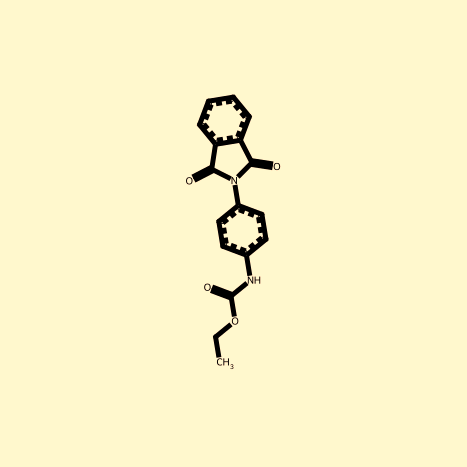 CCOC(=O)Nc1ccc(N2C(=O)c3ccccc3C2=O)cc1